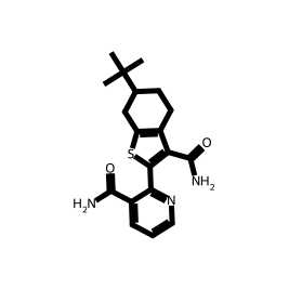 CC(C)(C)C1CCc2c(sc(-c3ncccc3C(N)=O)c2C(N)=O)C1